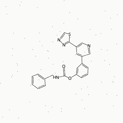 O=C(NCc1ccccc1)Oc1cccc(-c2cncc(-c3nncs3)c2)c1